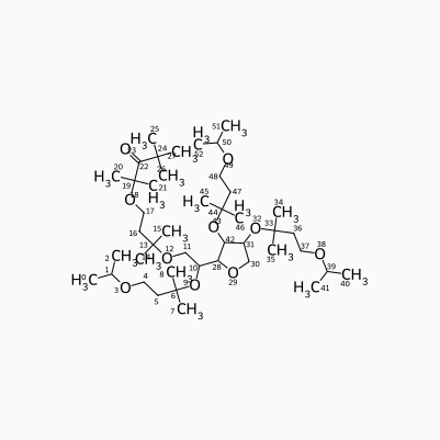 CC(C)OCCC(C)(C)OC(COC(C)(C)CCOC(C)(C)C(=O)C(C)(C)C)C1OCC(OC(C)(C)CCOC(C)C)C1OC(C)(C)CCOC(C)C